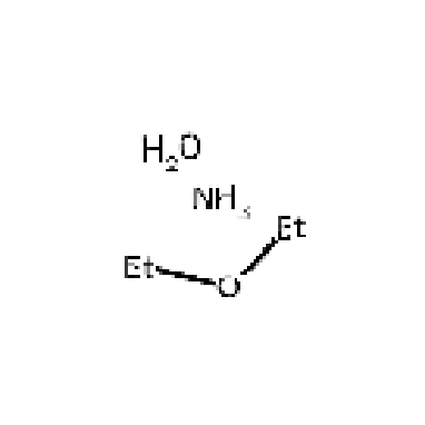 CCOCC.N.O